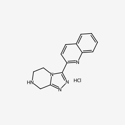 Cl.c1ccc2nc(-c3nnc4n3CCNC4)ccc2c1